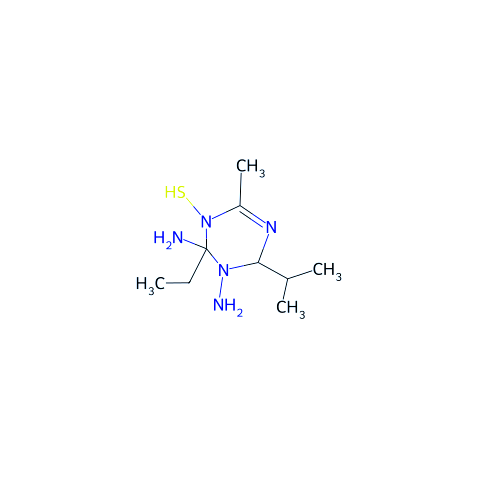 CCC1(N)N(S)C(C)=NC(C(C)C)N1N